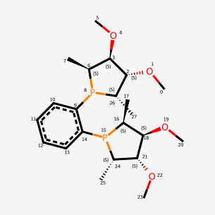 CO[C@H]1[C@H](OC)[C@H](C)P(c2ccccc2P2[C@@H](C)[C@@H](OC)[C@H](OC)[C@@H]2C)[C@H]1C